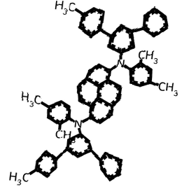 Cc1ccc(-c2cc(-c3ccccc3)cc(N(c3ccc(C)cc3C)c3ccc4ccc5c(N(c6cc(-c7ccccc7)cc(-c7ccc(C)cc7)c6)c6ccc(C)cc6C)ccc6ccc3c4c65)c2)cc1